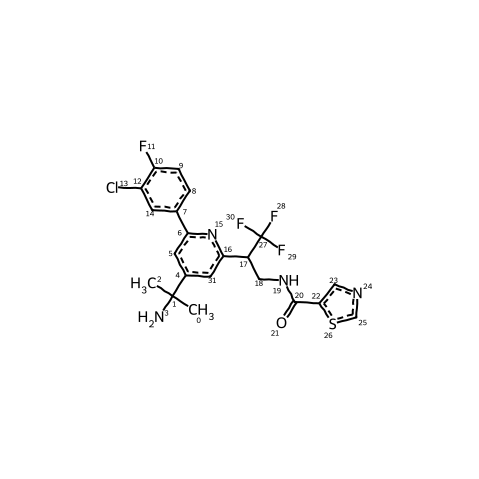 CC(C)(N)c1cc(-c2ccc(F)c(Cl)c2)nc(C(CNC(=O)c2cncs2)C(F)(F)F)c1